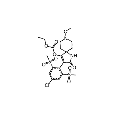 CCOC(=O)OC1=C(c2c(S(C)(=O)=O)cc(Cl)cc2S(C)(=O)=O)C(=O)NC12CCN(OC)CC2